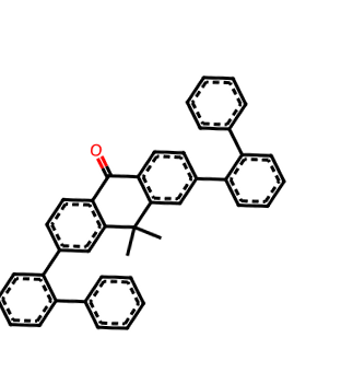 CC1(C)c2cc(-c3ccccc3-c3ccccc3)ccc2C(=O)c2ccc(-c3ccccc3-c3ccccc3)cc21